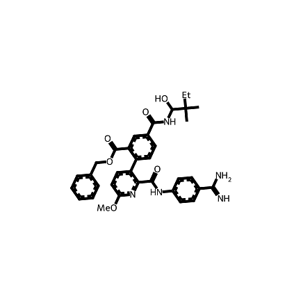 CCC(C)(C)C(O)NC(=O)c1ccc(-c2ccc(OC)nc2C(=O)Nc2ccc(C(=N)N)cc2)c(C(=O)OCc2ccccc2)c1